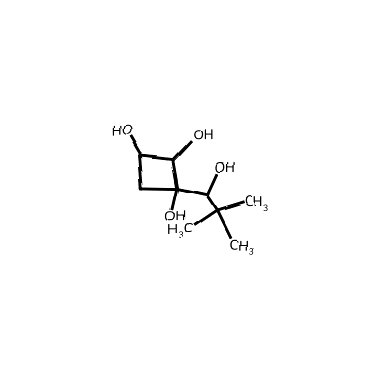 CC(C)(C)C(O)C1(O)CC(O)C1O